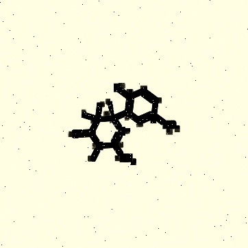 CN1C(=O)C(C)(C)[C@@](C)(c2cc([N+](=O)[O-])ccc2F)N=C1N